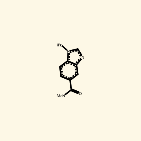 CNC(=O)c1ccc2c(c1)ncn2C(C)C